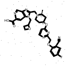 C[C@H]1C[C@@H](Oc2ccnc(COc3ccc(F)cc3C#N)n2)CCN1Cc1nc2cnc(C(=O)O)cc2n1CC1CCO1